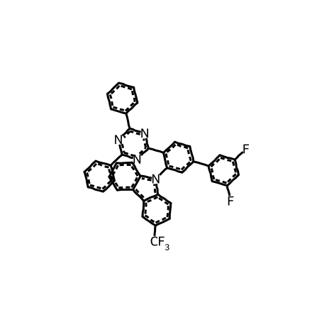 Fc1cc(F)cc(-c2ccc(-c3nc(-c4ccccc4)nc(-c4ccccc4)n3)c(-n3c4ccccc4c4cc(C(F)(F)F)ccc43)c2)c1